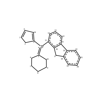 C1=CC[C]([Zr](=[C]2CCCCC2)[c]2cccc3c2Cc2ccccc2-3)=C1